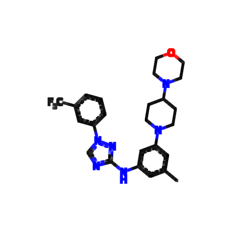 Cc1cc(Nc2ncn(-c3cccc(C(F)(F)F)c3)n2)cc(N2CCC(N3CCOCC3)CC2)c1